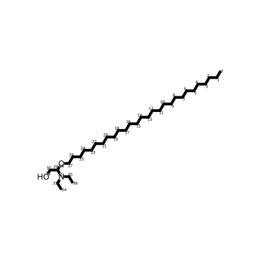 CCCCCCCCCCCCCCCCCCCCCCCCCCCCOC(CO)N(CC)CC